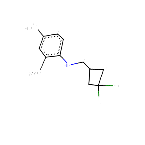 COc1cc(C(=O)O)ccc1NCC1CC(F)(F)C1